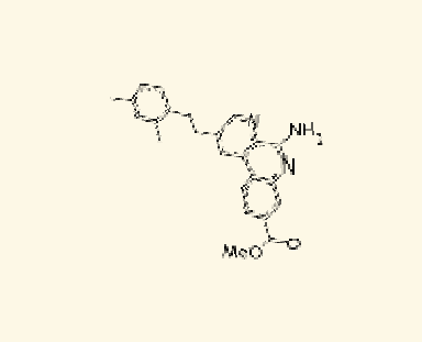 COC(=O)c1ccc2c(c1)nc(N)c1ncc(CCc3ccc(C)cc3C)cc12